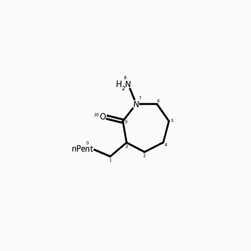 CCCCCCC1CCCCN(N)C1=O